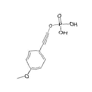 COc1ccc(C#COP(=O)(O)O)cc1